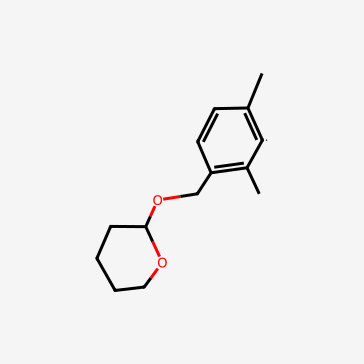 Cc1[c]c(C)c(COC2CCCCO2)cc1